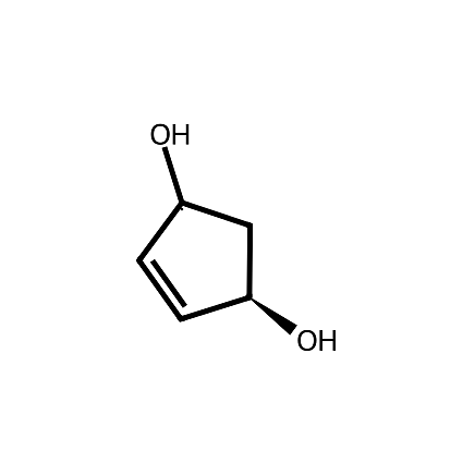 O[C]1C=C[C@H](O)C1